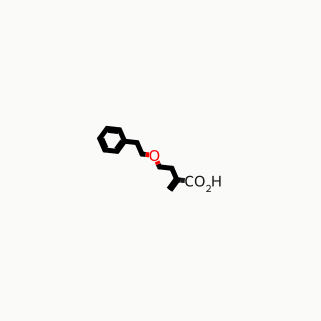 C=C(CCOCCc1ccccc1)C(=O)O